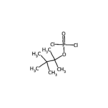 CC(C)(C)C(C)(C)OP(=O)(Cl)Cl